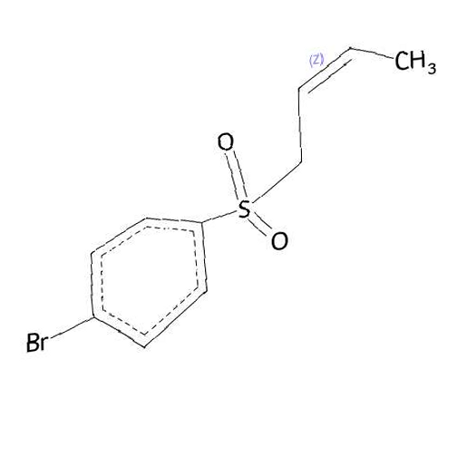 C/C=C\CS(=O)(=O)c1ccc(Br)cc1